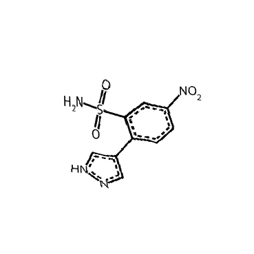 NS(=O)(=O)c1cc([N+](=O)[O-])ccc1-c1cn[nH]c1